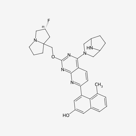 Cc1cccc2cc(O)cc(-c3ccc4c(N5CC6CCC(C5)N6)nc(OCC56CCCN5C[C@H](F)C6)nc4n3)c12